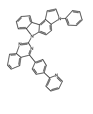 c1ccc(-n2ccc3c4c5ccccc5n(-c5nc(-c6ccc(-c7ccccn7)cc6)c6ccccc6n5)c4ccc32)cc1